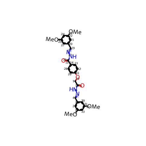 COc1cc(/C=N/NC(=O)COc2ccc(C(=O)N/N=C/c3cc(OC)cc(OC)c3)cc2)cc(OC)c1